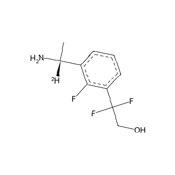 [2H][C@](C)(N)c1cccc(C(F)(F)CO)c1F